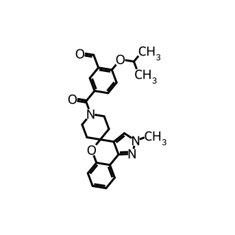 CC(C)Oc1ccc(C(=O)N2CCC3(CC2)Oc2ccccc2-c2nn(C)cc23)cc1C=O